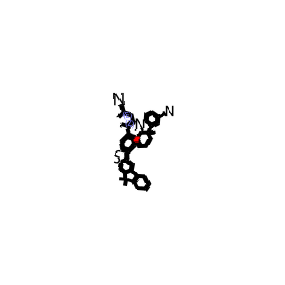 C/C(=C(\C=C(/C)C#N)N1c2ccc(C#N)cc2C2(C)C=CC=CC12)c1ccc2c(c1)sc1cc3c(cc12)C1=C(CCC=C1)C3(C)C